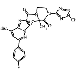 Cn1nnc(N2CCN(C(=O)c3cn4nc(-c5ccc(F)cc5)cc(C(C)(C)C)c4n3)C(C)(C)C2=O)n1